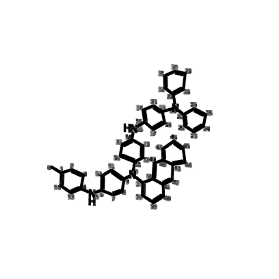 Cc1ccc(Nc2ccc(N(c3ccc(Nc4ccc(N(c5ccccc5)c5ccccc5)cc4)cc3)c3cccc4cc5ccccc5cc34)cc2)cc1